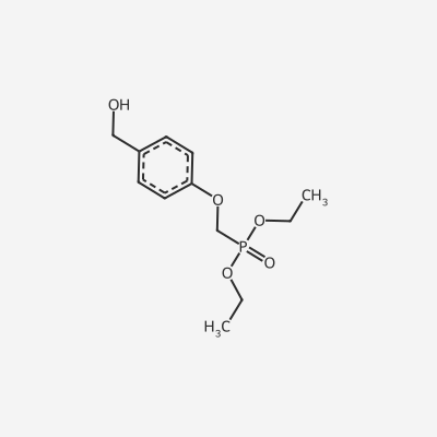 CCOP(=O)(COc1ccc(CO)cc1)OCC